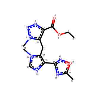 CCOC(=O)c1nnn(C)c1Cc1c(-c2noc(C)n2)ncn1C